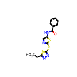 O=C(O)Cc1nnc(Sc2ncc(NC(=O)c3ccccc3)s2)s1